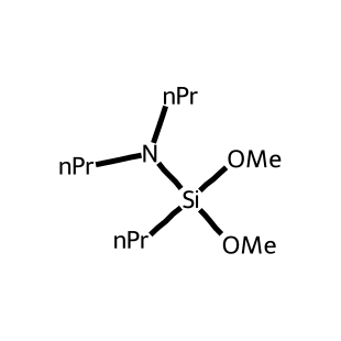 CCCN(CCC)[Si](CCC)(OC)OC